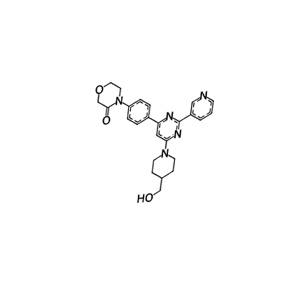 O=C1COCCN1c1ccc(-c2cc(N3CCC(CO)CC3)nc(-c3cccnc3)n2)cc1